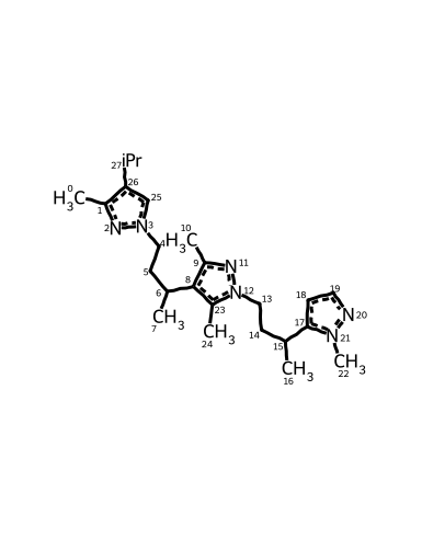 Cc1nn(CCC(C)c2c(C)nn(CCC(C)c3ccnn3C)c2C)cc1C(C)C